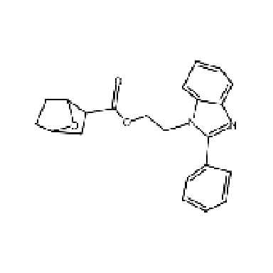 O=C(OCCn1c(-c2ccccc2)nc2ccccc21)C1CC2CCC1O2